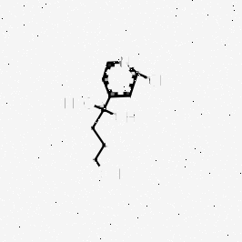 CCCCC(C)(C)c1ccnc(C)c1